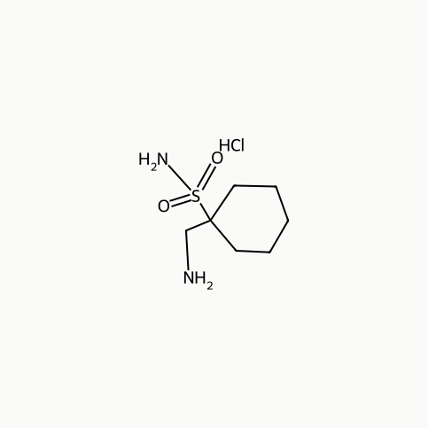 Cl.NCC1(S(N)(=O)=O)CCCCC1